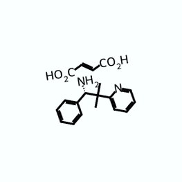 CC(C)(c1ccccn1)[C@@H](N)c1ccccc1.O=C(O)C=CC(=O)O